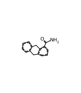 NC(=O)c1cccc2c1Cc1ccccc1C2